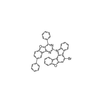 Brc1cc2oc3ccccc3c2c2c1c1ccccc1n2-c1nc(-c2ccccc2)c2oc3ccc(-c4ccccc4)cc3c2n1